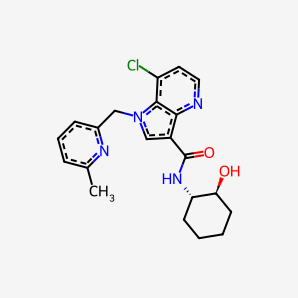 Cc1cccc(Cn2cc(C(=O)N[C@H]3CCCC[C@@H]3O)c3nccc(Cl)c32)n1